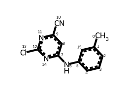 Cc1cccc(Nc2cc(C#N)nc(Cl)n2)c1